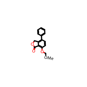 COCOc1ccc(-c2ccccc2)c2c1C(=O)OC2